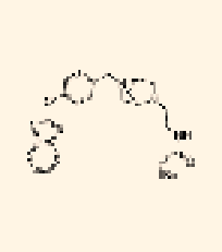 CC(C)(C)OC(=O)NCCN1CC2CC1CN2Cc1ccc(Oc2nc3ccccc3s2)cc1